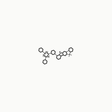 CC1(C)c2ccccc2-c2cc3sc4c(-c5cccc(-c6nc(-c7ccccc7)nc(-c7ccccc7)n6)c5)cccc4c3cc21